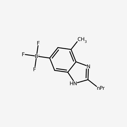 CCCc1nc2c(C)cc([B-](F)(F)F)cc2[nH]1